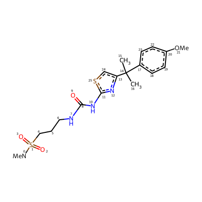 CNS(=O)(=O)CCCNC(=O)Nc1nc(C(C)(C)c2ccc(OC)cc2)cs1